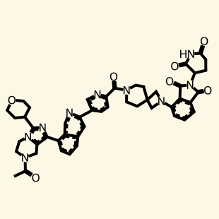 CC(=O)N1CCn2c(C3CCOCC3)nc(-c3cccc4cc(-c5ccc(C(=O)N6CCC7(CC6)CN(c6cccc8c6C(=O)N(C6CCC(=O)NC6=O)C8=O)C7)nc5)ncc34)c2C1